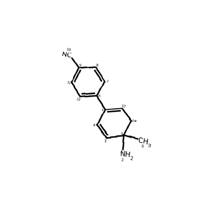 CC1(N)C=CC(c2ccc(C#N)cc2)=CC1